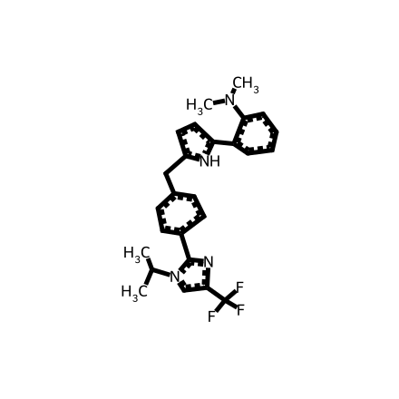 CC(C)n1cc(C(F)(F)F)nc1-c1ccc(Cc2ccc(-c3ccccc3N(C)C)[nH]2)cc1